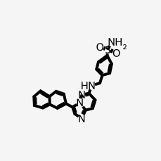 NS(=O)(=O)c1ccc(CNc2ccc3ncc(-c4ccc5ccccc5c4)n3n2)cc1